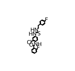 O=C(Nc1ccc(NC(=S)NCCc2ccc(F)cc2)cc1Cl)c1ccccc1F